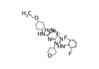 C=C(/N=C1\C(=C/N)N=C(Nc2c(F)cccc2F)N1C1CCOCC1)N[C@H]1CC[C@H](OCC)CC1